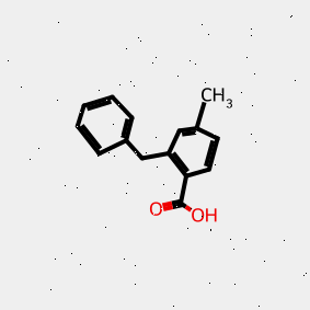 Cc1ccc(C(=O)O)c(Cc2ccccc2)c1